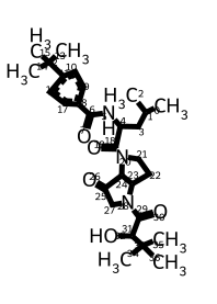 CC(C)CC(NC(=O)c1ccc(C(C)(C)C)cc1)C(=O)N1CCC2C1C(=O)CN2C(=O)C(O)C(C)(C)C